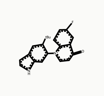 CC(C)(C)c1cc2cc[nH]c2cc1-n1ccc(=O)c2cc(F)ccc21